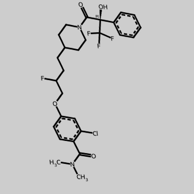 CN(C)C(=O)c1ccc(OCC(F)CCC2CCN(C(=O)[C@](O)(c3ccccc3)C(F)(F)F)CC2)cc1Cl